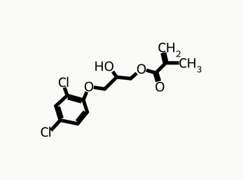 C=C(C)C(=O)OCC(O)COc1ccc(Cl)cc1Cl